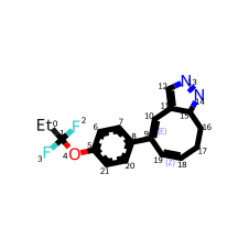 CCC(F)(F)Oc1ccc(C2=C/C3=CN=NC3CC/C=C\2)cc1